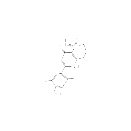 Cc1cc(C(C)(C)C)c(Cl)cc1-c1cc(=O)c2c([nH]1)CCC[S@@]2(=N)=O